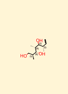 C=C[C@H](C)[C@H](O)[C@@H](C)[C@H](O)[C@@H](C)CO